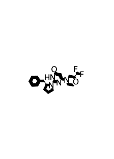 O=c1cc(N2CCO[C@@H](C(F)F)C2)nc(N2CCC[C@@H]2Cc2ccccc2)[nH]1